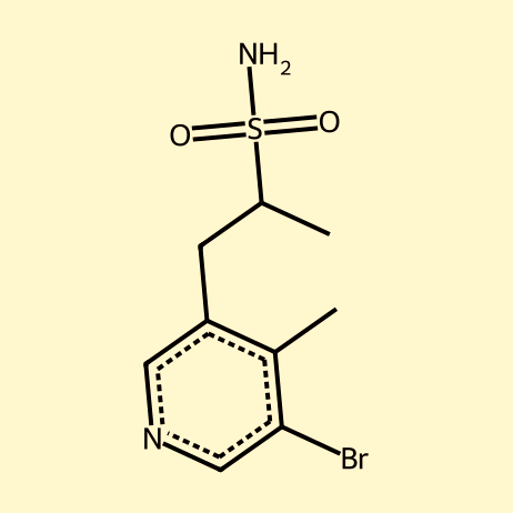 Cc1c(Br)cncc1CC(C)S(N)(=O)=O